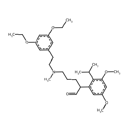 CCOc1cc(CCN(C)CCCC(C=O)c2cc(OC)cc(OC)c2C(C)C)cc(OCC)c1